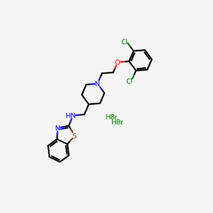 Br.Br.Clc1cccc(Cl)c1OCCN1CCC(CNc2nc3ccccc3s2)CC1